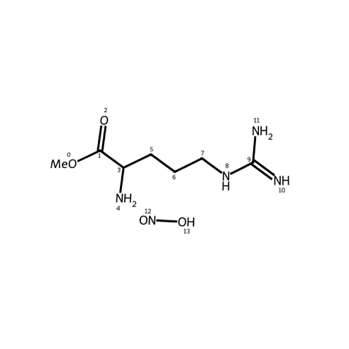 COC(=O)C(N)CCCNC(=N)N.O=NO